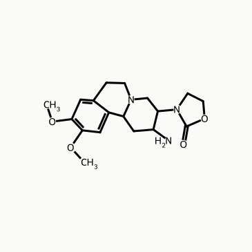 COc1cc2c(cc1OC)C1CC(N)C(N3CCOC3=O)CN1CC2